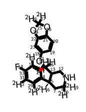 [2H]c1c([2H])c([C@]2([2H])CC([2H])([2H])NCC2C([2H])([2H])Oc2ccc3c(c2)OC([2H])([2H])O3)c([2H])c([2H])c1F